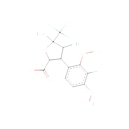 COc1ccc(C2C(C(=O)O)OC(C)(C(F)(F)F)C2C)c(OC)c1F